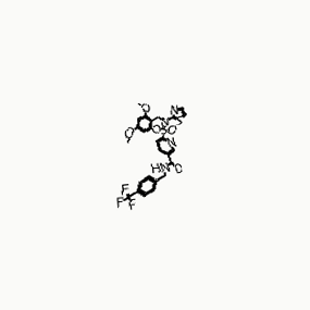 COc1ccc(CN(c2nccs2)S(=O)(=O)c2ccc(C(=O)NCc3ccc(C(F)(F)F)cc3)cn2)c(OC)c1